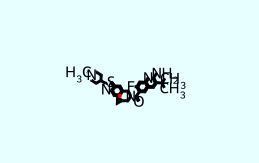 CC(C)c1cc2cc(C(=O)N(Cc3ccc4nc(C5CCN(C)CC5)sc4c3)CC3CC3)c(F)cc2nc1N